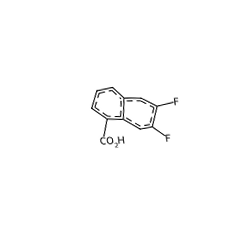 O=C(O)c1cccc2cc(F)c(F)cc12